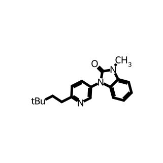 Cn1c(=O)n(-c2ccc(CCC(C)(C)C)nc2)c2ccccc21